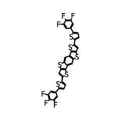 Fc1cc(-c2ccc(-c3cc4sc5cc6c(cc5c4s3)sc3cc(-c4ccc(-c5cc(F)c(F)c(F)c5)s4)sc36)s2)cc(F)c1F